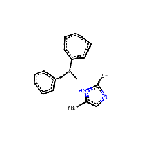 CB(c1ccccc1)c1ccccc1.CCCCc1cnc(CC)[nH]1